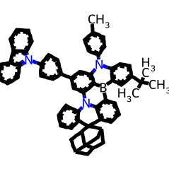 Cc1ccc(N2c3ccc(C(C)(C)C)cc3B3c4cccc5c4N(c4ccccc4C54C5CC6CC(C5)CC4C6)c4cc(-c5ccc(-n6c7ccccc7c7ccccc76)cc5)cc2c43)cc1